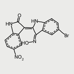 O=C1Nc2ccc([N+](=O)[O-])cc2/C1=C1/Nc2ccc(Br)cc2/C1=N/O